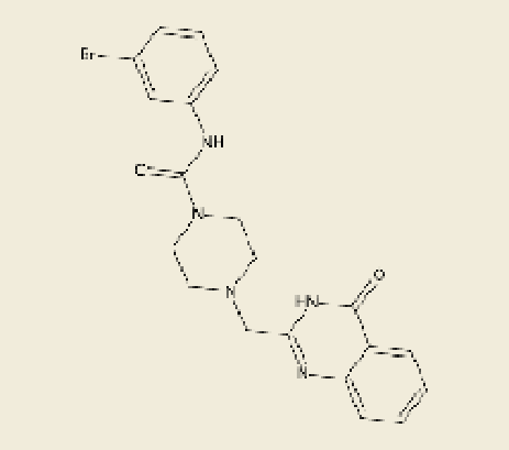 O=C(Nc1cccc(Br)c1)N1CCN(Cc2nc3ccccc3c(=O)[nH]2)CC1